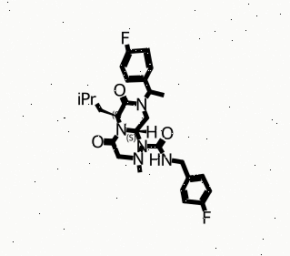 CC(C)C[C@H]1C(=O)N(C(C)c2ccc(F)cc2)C[C@H]2N1C(=O)CN(C)N2C(=O)NCc1ccc(F)cc1